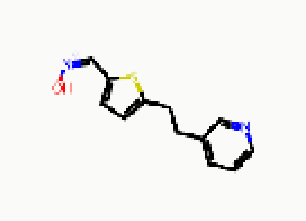 O/N=C\c1ccc(CCc2cccnc2)s1